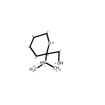 C[SiH](C)C1(CO)CCCCO1